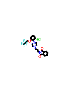 Cl.O=C1C2CC=CCC2C(=O)N1CCCN1CCN(c2ccccc2OCC(F)(F)C(F)F)CC1